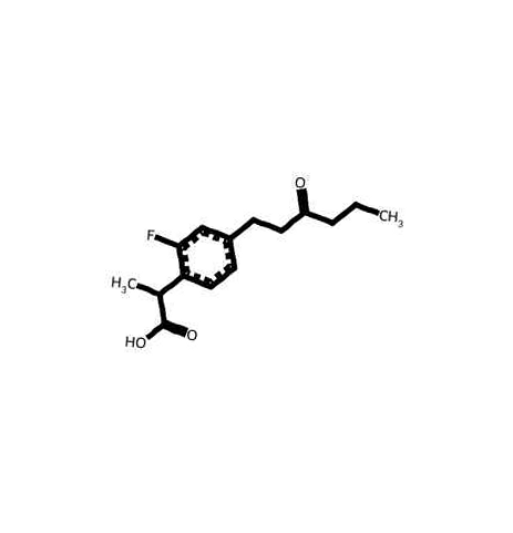 CCCC(=O)CCc1ccc(C(C)C(=O)O)c(F)c1